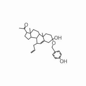 C=CCC1C=C2CC(O)(OCc3ccc(O)cc3)CCC2(C)C2CCC3(C)C(C(C)=O)CCC3C12